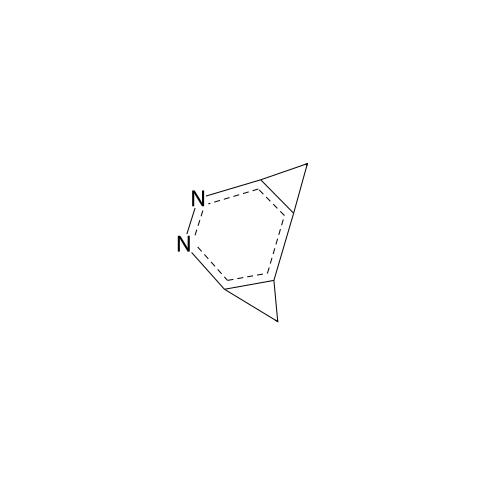 C1c2nnc3c(c21)C3